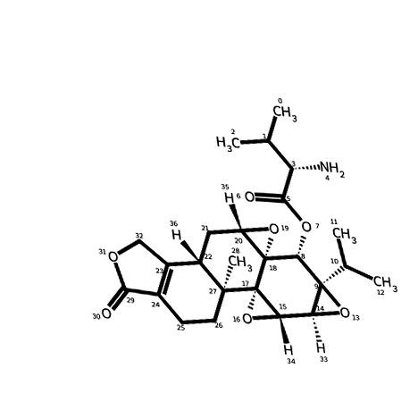 CC(C)[C@H](N)C(=O)O[C@@H]1[C@@]2(C(C)C)O[C@H]2[C@@H]2O[C@]23[C@]12O[C@H]2C[C@H]1C2=C(CC[C@@]13C)C(=O)OC2